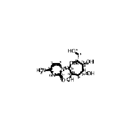 Nc1ccn([C@@H]2O[C@H](CO)[C@@H](O)[C@H](O)C[C@H]2O)c(=O)n1